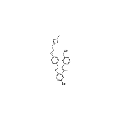 CCC1CN(CCOc2ccc(C3Oc4ccc(O)cc4C(C)=C3c3cccc(CO)c3)cc2)C1